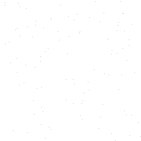 CCC[C@H](O)Cc1cc(C)ccc1F